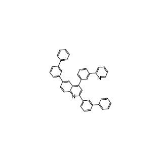 c1ccc(-c2cccc(-c3ccc4nc(-c5cccc(-c6ccccc6)c5)cc(-c5cccc(-c6ccccn6)c5)c4c3)c2)cc1